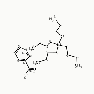 CCCC[N+](CCCC)(CCCC)CCCC.O=C([O-])c1cccnc1